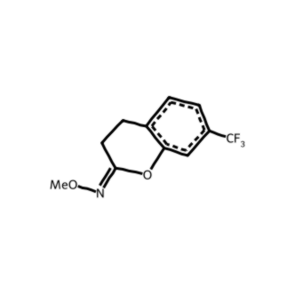 CON=C1CCc2ccc(C(F)(F)F)cc2O1